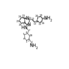 NCC1CCCC(CNc2nc(C=Cc3ccc(N)cc3)nc3ccccc23)C1